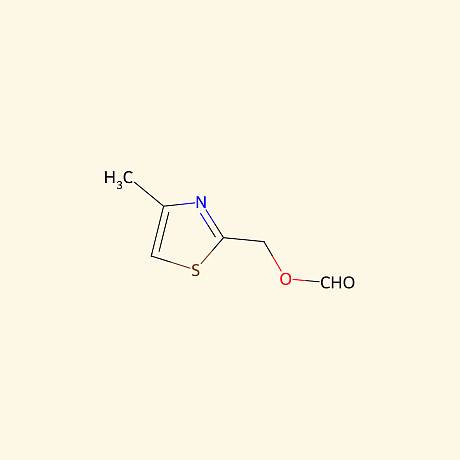 Cc1csc(COC=O)n1